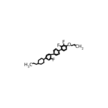 C=CCOc1ccc(-c2ccc(-c3ccc(C4CCC(CCC)CC4)cc3F)cc2)c(F)c1F